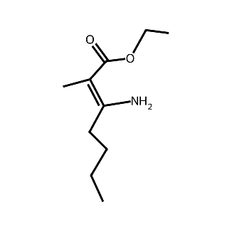 CCCC/C(N)=C(\C)C(=O)OCC